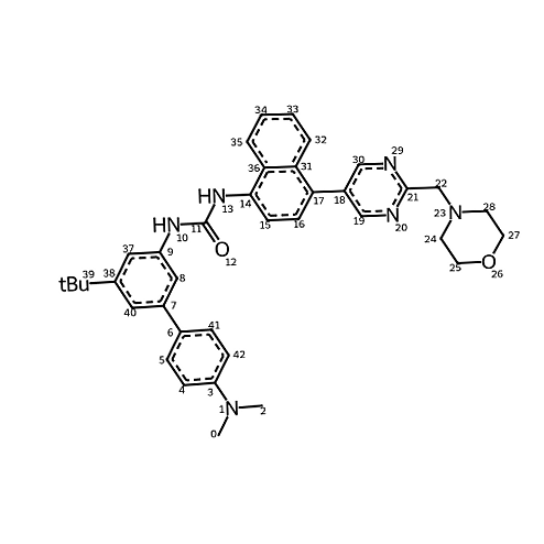 CN(C)c1ccc(-c2cc(NC(=O)Nc3ccc(-c4cnc(CN5CCOCC5)nc4)c4ccccc34)cc(C(C)(C)C)c2)cc1